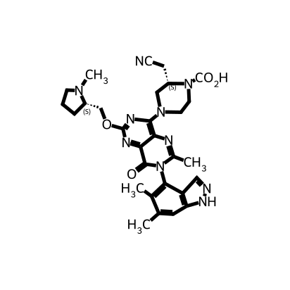 Cc1cc2[nH]ncc2c(-n2c(C)nc3c(N4CCN(C(=O)O)[C@@H](CC#N)C4)nc(OC[C@@H]4CCCN4C)nc3c2=O)c1C